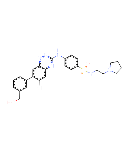 Cc1cc2nc(Nc3ccc(S(=O)(=O)NCCN4CCCC4)cc3)nnc2cc1-c1cccc(CO)c1